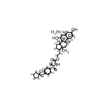 CC[C@H]1[C@@H](O)[C@@H]2[C@H](CC[C@]3(C)[C@@H](CCOC(=O)NS(=O)(=O)c4ccc(OC5(C)CCCC5)cc4)CC[C@@H]23)[C@@]2(C)CC[C@@H](O)C[C@@H]12